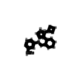 COc1cncc(OCC2CCCCC2c2ccnn2C2CCC2)c1